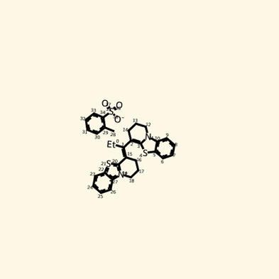 CCC(C1=C2Sc3ccccc3N2CCC1)=C1CCC[n+]2c1sc1ccccc12.Cc1ccccc1S(=O)(=O)[O-]